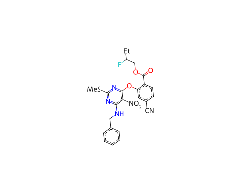 CCC(F)COC(=O)c1ccc(C#N)cc1Oc1nc(SC)nc(NCc2ccccc2)c1[N+](=O)[O-]